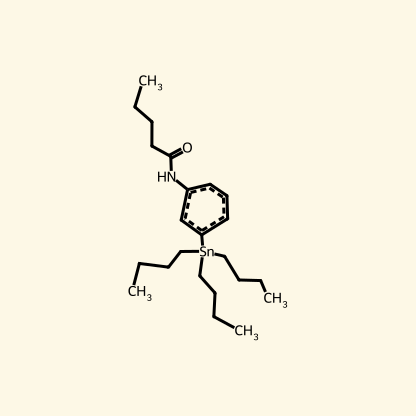 CCCCC(=O)Nc1ccc[c]([Sn]([CH2]CCC)([CH2]CCC)[CH2]CCC)c1